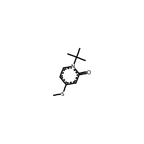 CSc1ccn(C(C)(C)C)c(=O)c1